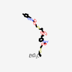 C=C(CSCCOC(=O)Nc1cccc(CCOC(=O)C(=C)CSCCOC(=O)NCc2ccc(C)cc2)c1)C(=O)OCC